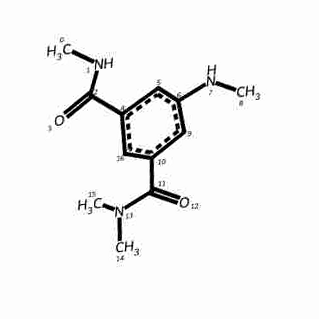 CNC(=O)c1cc(NC)cc(C(=O)N(C)C)c1